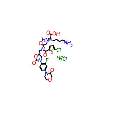 Cl.Cl.NCCCC[C@H](NCC(=O)N(C[C@H]1CN(c2ccc(N3CCOCC3=O)cc2F)C(=O)O1)C(=O)c1ccc(Cl)s1)C(=O)O